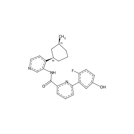 C[C@H]1CCC[C@@H](c2ccncc2NC(=O)c2cccc(-c3cc(O)ccc3F)n2)C1